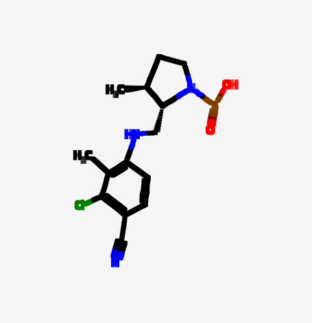 Cc1c(NC[C@@H]2[C@@H](C)CCN2S(=O)O)ccc(C#N)c1Cl